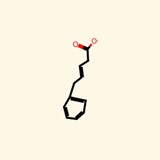 [O]C(=O)CC=CCc1ccccc1